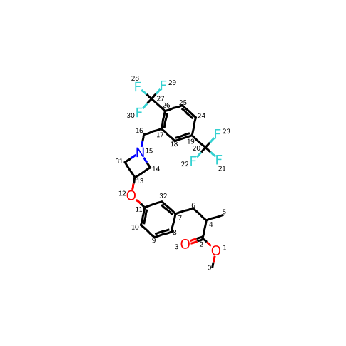 COC(=O)C(C)Cc1cccc(OC2CN(Cc3cc(C(F)(F)F)ccc3C(F)(F)F)C2)c1